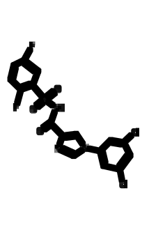 O=C(NS(=O)(=O)c1cc(F)ccc1F)c1cn(-c2cc(Cl)cc(Cl)c2)cn1